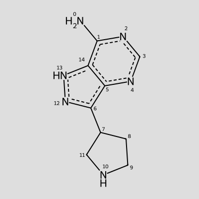 Nc1ncnc2c(C3CCNC3)n[nH]c12